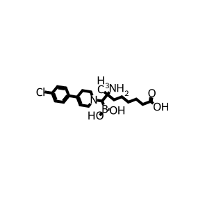 CC(N)(CCCCCC(=O)O)C(B(O)O)N1CC=C(c2ccc(Cl)cc2)CC1